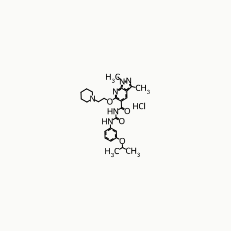 Cc1nn(C)c2nc(OCCN3CCCCC3)c(C(=O)NC(=O)Nc3cccc(OC(C)C)c3)cc12.Cl